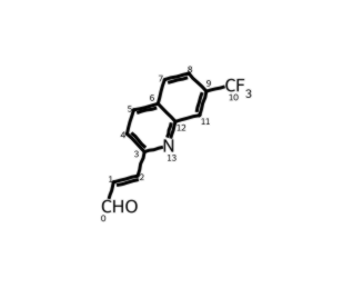 O=CC=Cc1ccc2ccc(C(F)(F)F)cc2n1